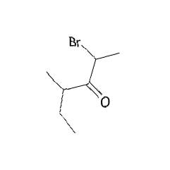 CCC(C)C(=O)C(C)Br